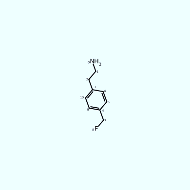 NCCc1ccc(CF)cc1